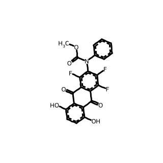 COC(=O)N(c1ccccc1)c1c(F)c(F)c2c(c1F)C(=O)c1c(O)ccc(O)c1C2=O